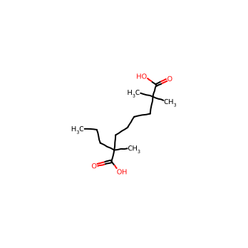 CCCC(C)(CCCCC(C)(C)C(=O)O)C(=O)O